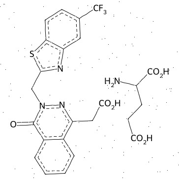 NC(CCC(=O)O)C(=O)O.O=C(O)Cc1nn(Cc2nc3cc(C(F)(F)F)ccc3s2)c(=O)c2ccccc12